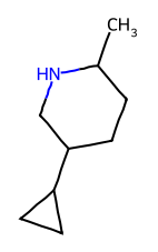 CC1CCC(C2CC2)CN1